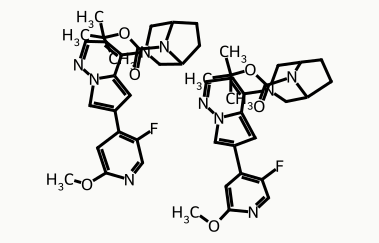 COc1cc(-c2cc3c(N4CC5CCC(C4)N5C(=O)OC(C)(C)C)ccnn3c2)c(F)cn1.COc1cc(-c2cc3c(N4CC5CCC(C4)N5C(=O)OC(C)(C)C)ccnn3c2)c(F)cn1